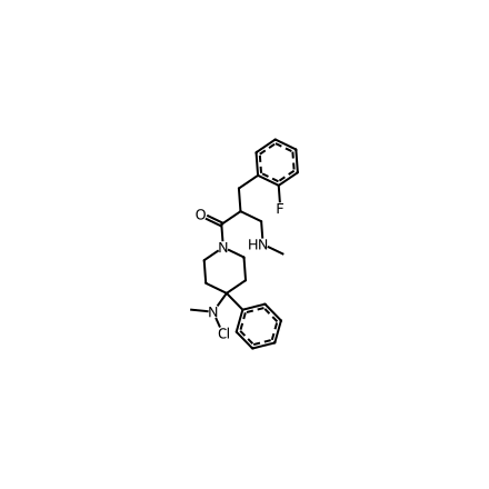 CNCC(Cc1ccccc1F)C(=O)N1CCC(c2ccccc2)(N(C)Cl)CC1